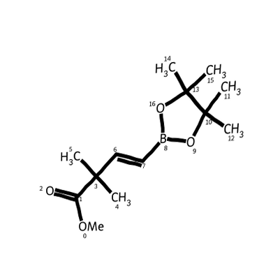 COC(=O)C(C)(C)/C=C/B1OC(C)(C)C(C)(C)O1